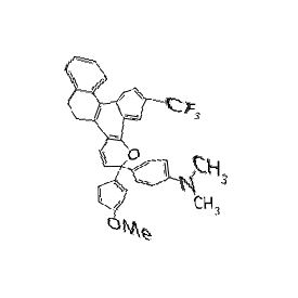 COc1ccc(C2(c3ccc(N(C)C)cc3)C=Cc3c4c(c5ccc(C(F)(F)F)cc5c3O2)-c2ccccc2CC4)cc1